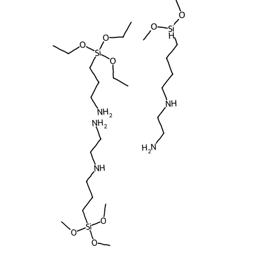 CCO[Si](CCCN)(OCC)OCC.CO[SiH](CCCCNCCN)OC.CO[Si](CCCNCCN)(OC)OC